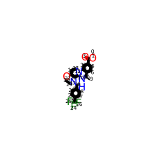 COC(=O)c1ccc([C@@H](C)Nc2nccc3c2N(Cc2ccc(C(F)(F)F)cc2)CCO3)cc1